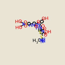 Cn1nnnc1SCC1=C(C(=O)O)N2C(=O)C(NC(=O)C(NC(=O)c3ccc(-c4ccc(S(=O)(=O)N(CCO)CCO)cc4)[nH]c3=O)c3ccc(O)cc3)[C@@H]2SC1